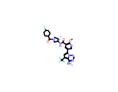 COc1ncc(-c2cc(C(F)(F)F)c3c(N)ncnn23)cc1C(=O)NC1CN(C(=O)C2CCC(F)CC2)C[C@@H]1F